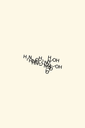 C/C=C(\C=C/CNC(=O)NCCN)c1nc(NCCO)cc(C2(S(=O)(=O)CCCO)CCOCC2)n1